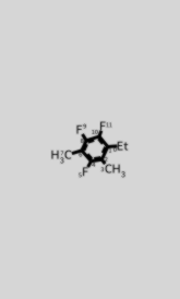 CCc1c(C)c(F)c(C)c(F)c1F